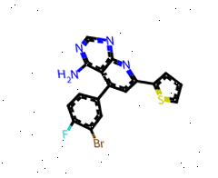 Nc1ncnc2nc(-c3cccs3)cc(-c3ccc(F)c(Br)c3)c12